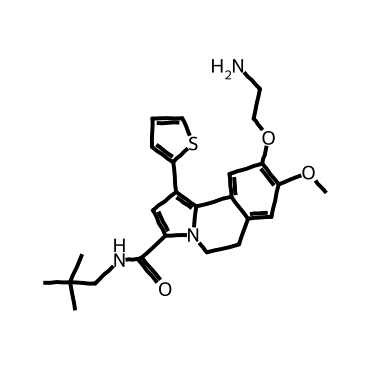 COc1cc2c(cc1OCCN)-c1c(-c3cccs3)cc(C(=O)NCC(C)(C)C)n1CC2